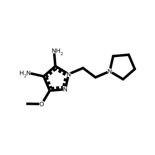 COc1nn(CCN2CCCC2)c(N)c1N